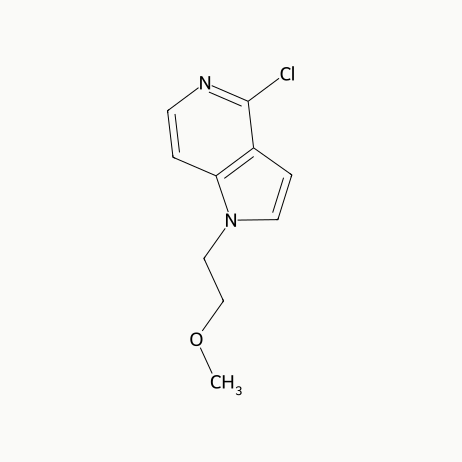 COCCn1ccc2c(Cl)nccc21